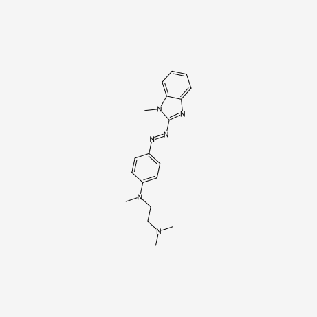 CN(C)CCN(C)c1ccc(/N=N/c2nc3ccccc3n2C)cc1